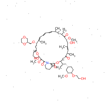 CO[C@@H]1C[C@H](C[C@@H](C)[C@@H]2CC(=O)[C@H](C)/C=C(\C)[C@@H](O)[C@@H](OC)C(=O)[C@H](C)C[C@H](C)/C=C/C=C/C=C(\C)[C@@H](OC[C@@H]3COCCO3)C[C@@H]3CC[C@@H](C)[C@@](O)(O3)C(=O)C(=O)N3CCCC[C@H]3C(=O)O2)CC[C@H]1OCCO